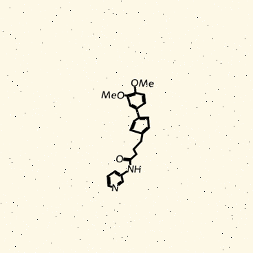 COc1ccc(-c2ccc(CCCC(=O)Nc3cccnc3)cc2)cc1OC